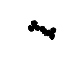 c1ccc(-n2c3ccccc3c3cc(-c4ccc5cc6c(cc5c4)oc4cc5c7ccccc7c7ccccc7c5cc46)ccc32)cc1